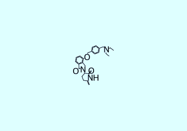 C=C1CCC(N2Cc3c(OCc4ccc(CN(CC)CC)cc4)cccc3C2=O)C(=O)N1